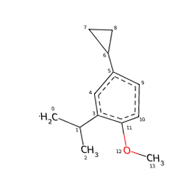 [CH2]C(C)c1cc(C2CC2)ccc1OC